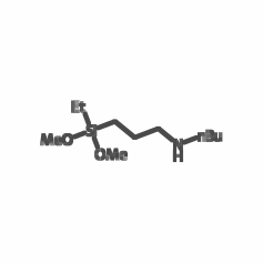 CCCCNCCC[Si](CC)(OC)OC